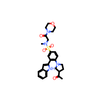 CC(=O)C1CCN(c2ccc(S(=O)(=O)N(C)CC(=O)N3CCOCC3)cc2-c2cc3ccccc3[nH]2)C1